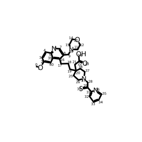 COc1ccc2ncc(CN3CCOCC3)c(CCCC3(CC(=O)O)CCN(CC(=S)c4ccccn4)CC3)c2c1